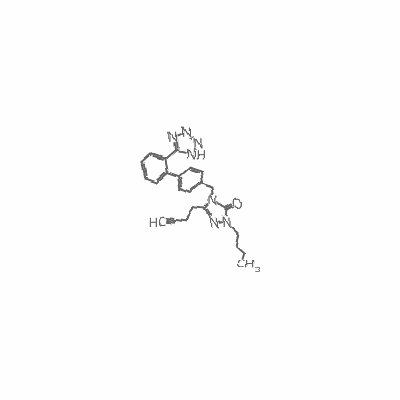 C#CCCc1nn(CCCC)c(=O)n1Cc1ccc(-c2ccccc2-c2nnn[nH]2)cc1